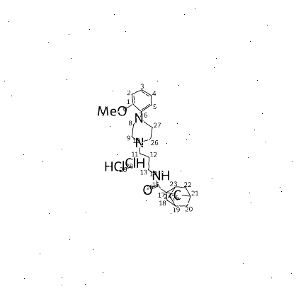 COc1ccccc1N1CCN(CCCNC(=O)C23CC4CC(CC2C4)C3)CC1.Cl.Cl